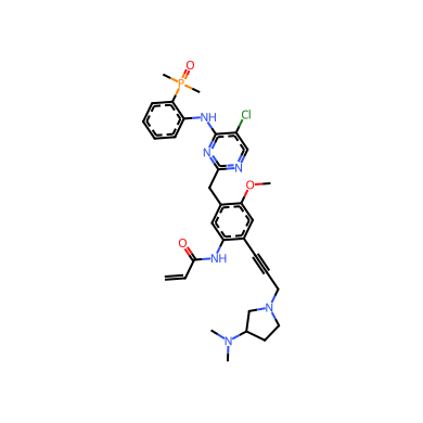 C=CC(=O)Nc1cc(Cc2ncc(Cl)c(Nc3ccccc3P(C)(C)=O)n2)c(OC)cc1C#CCN1CCC(N(C)C)C1